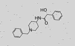 O=C(NC1CCN(Cc2ccccc2)CC1)[C@H](O)c1ccccc1